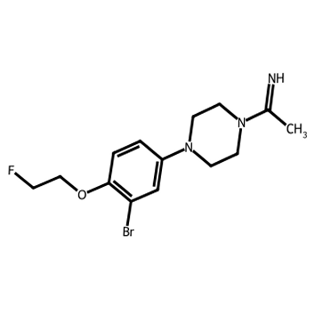 CC(=N)N1CCN(c2ccc(OCCF)c(Br)c2)CC1